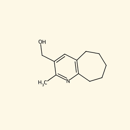 Cc1nc2c(cc1CO)CCCCC2